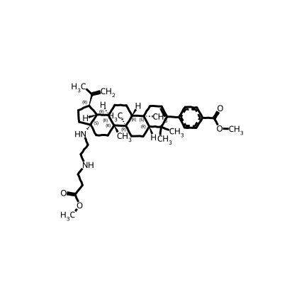 C=C(C)[C@@H]1CC[C@]2(NCCNCCC(=O)OC)CC[C@]3(C)[C@H](CC[C@@H]4[C@@]5(C)CC=C(c6ccc(C(=O)OC)cc6)C(C)(C)[C@@H]5CC[C@]43C)[C@@H]12